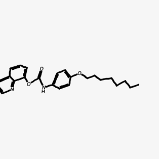 CCCCCCCCOc1ccc(NC(=O)Oc2cccc3cccnc23)cc1